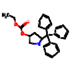 CCOC(=O)OC1CNC(C(c2ccccc2)(c2ccccc2)c2ccccc2)C1